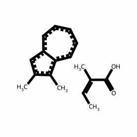 CC=C(C)C(=O)O.Cc1cc2cccccc-2c1C